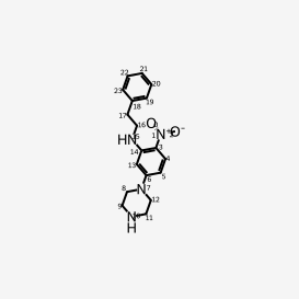 O=[N+]([O-])c1ccc(N2CCNCC2)cc1NCCc1ccccc1